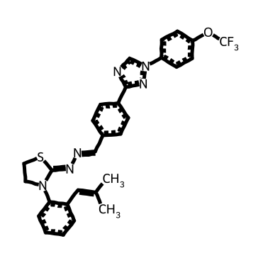 CC(C)=Cc1ccccc1N1CCS/C1=N\N=C\c1ccc(-c2ncn(-c3ccc(OC(F)(F)F)cc3)n2)cc1